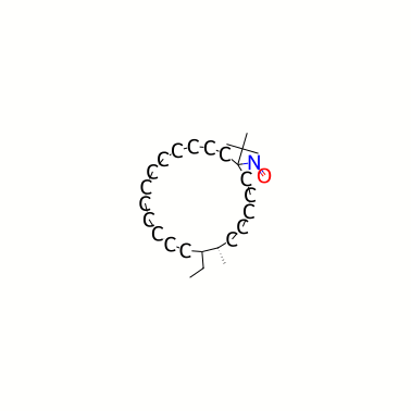 CCC1CCCCCCCCCCCCC(N=O)(C(C)(C)C)CCCCC[C@@H]1C